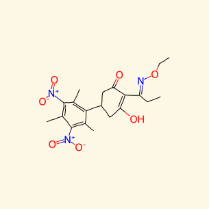 CCON=C(CC)C1=C(O)CC(c2c(C)c([N+](=O)[O-])c(C)c([N+](=O)[O-])c2C)CC1=O